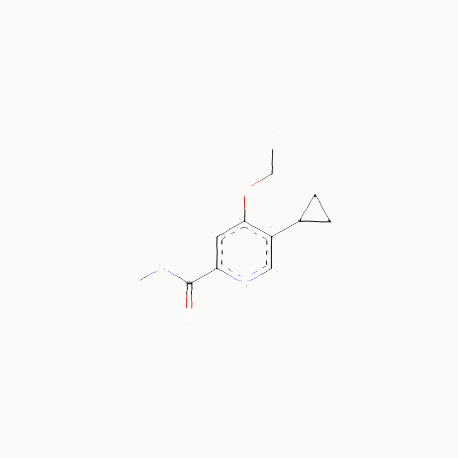 CC(C)(C)NC(=O)c1cc(OCC(F)(F)F)c(C2CC2)cn1